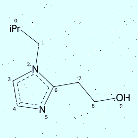 CC(C)Cn1ccnc1CCO